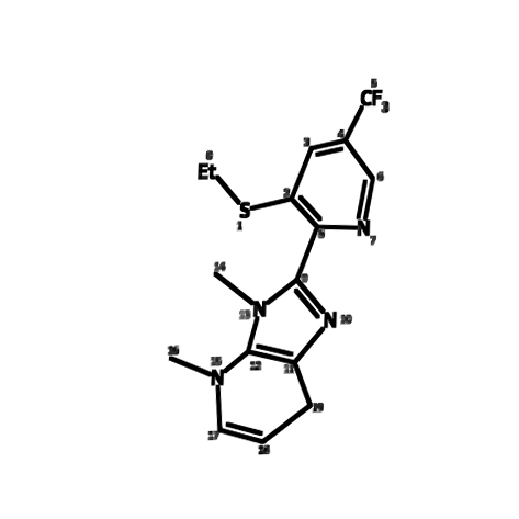 CCSc1cc(C(F)(F)F)cnc1-c1nc2c(n1C)N(C)C=CC2